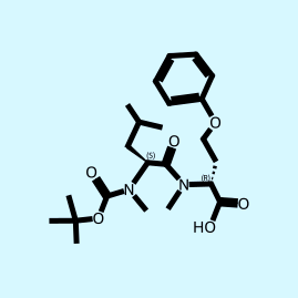 CC(C)C[C@@H](C(=O)N(C)[C@H](CCOc1ccccc1)C(=O)O)N(C)C(=O)OC(C)(C)C